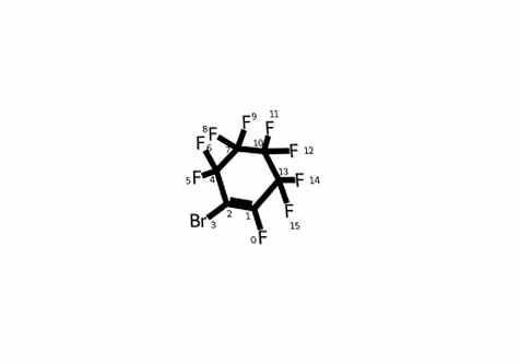 FC1=C(Br)C(F)(F)C(F)(F)C(F)(F)C1(F)F